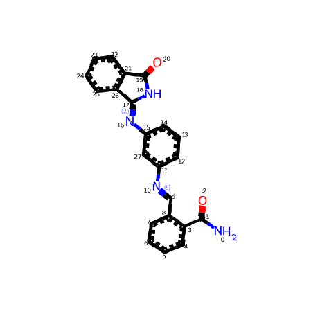 NC(=O)c1ccccc1/C=N/c1cccc(/N=C2\NC(=O)c3ccccc32)c1